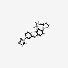 O=S1(=O)NC2CCCN2c2ccc(Oc3cccc(-n4ccnn4)c3)cc21